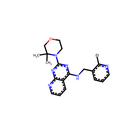 CCc1ncccc1CNc1nc(N2CCOCC2(C)C)nc2ncccc12